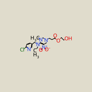 CCN(Cc1ccc(Cl)nc1)C1=C([N+](=O)[O-])CN(CCC(=O)OCCO)CN1C